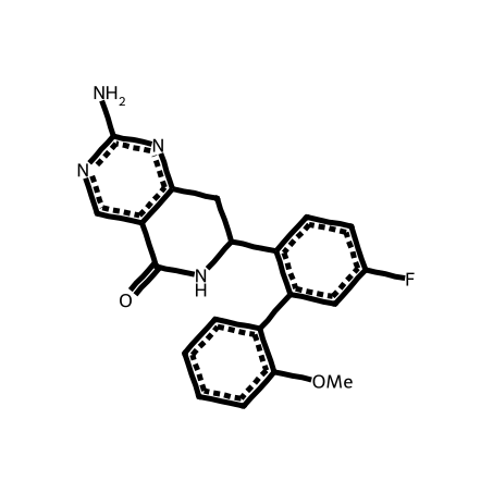 COc1ccccc1-c1cc(F)ccc1C1Cc2nc(N)ncc2C(=O)N1